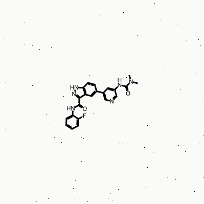 CN(C)C(=O)Nc1cncc(-c2ccc3[nH]nc(C(=O)Nc4ccccc4F)c3c2)c1